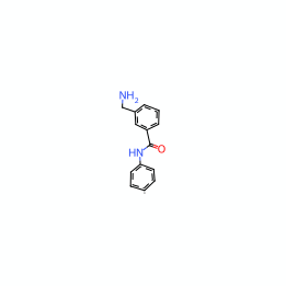 NCc1cccc(C(=O)Nc2cc[c]cc2)c1